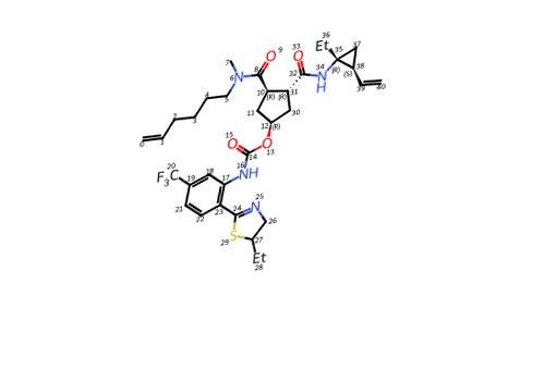 C=CCCCCN(C)C(=O)[C@@H]1C[C@H](OC(=O)Nc2cc(C(F)(F)F)ccc2C2=NCC(CC)S2)C[C@H]1C(=O)N[C@]1(CC)C[C@H]1C=C